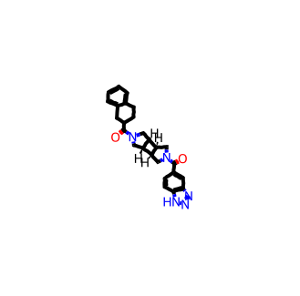 O=C(c1ccc2[nH]nnc2c1)N1C[C@@H]2[C@H](C1)[C@H]1CN(C(=O)C3CCc4ccccc4C3)C[C@@H]21